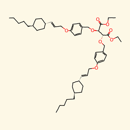 CCCCC[C@H]1CC[C@H](/C=C/COc2ccc(CO[C@@H](C(=O)OCC)[C@@H](OCc3ccc(OC/C=C/[C@H]4CC[C@H](CCCCC)CC4)cc3)C(=O)OCC)cc2)CC1